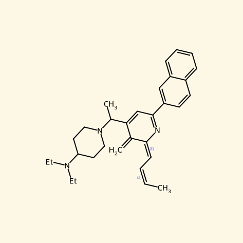 C=c1c(C(C)N2CCC(N(CC)CC)CC2)cc(-c2ccc3ccccc3c2)n/c1=C/C=C\C